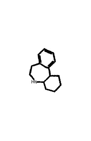 c1ccc2c(c1)CCNC1CCCCC21